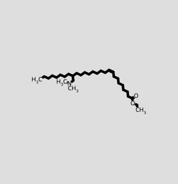 CCCCCCCCC(CCCCCCCC/C=C\CCCCCCCC(=O)OCC)CN(C)C